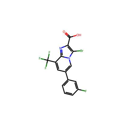 O=C(O)c1nc2c(C(F)(F)F)cc(-c3cccc(F)c3)cn2c1Br